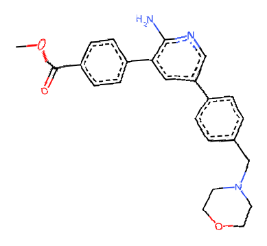 COC(=O)c1ccc(-c2cc(-c3ccc(CN4CCOCC4)cc3)cnc2N)cc1